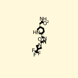 NC(=O)C[C@@H]1CC[C@H](c2nnc(N3CC(C(F)(F)F)C3)o2)NC1